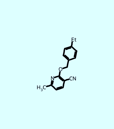 CCc1ccc(COc2nc(C)ccc2C#N)cc1